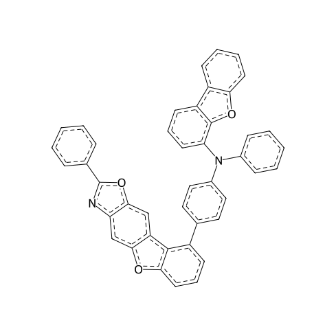 c1ccc(-c2nc3cc4oc5cccc(-c6ccc(N(c7ccccc7)c7cccc8c7oc7ccccc78)cc6)c5c4cc3o2)cc1